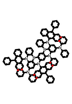 c1ccc(-c2c3ccccc3c(N3c4ccccc4B4c5cc6c(cc5N(c5ccccc5)c5cc(N(c7ccccc7)c7ccccc7)cc3c54)N(c3c4ccccc4c(-c4ccccc4)c4ccccc34)c3cc(N(c4ccccc4)c4ccccc4)cc4c3B6c3ccccc3N4c3c4ccccc4c(-c4ccccc4)c4ccccc34)c3ccccc23)cc1